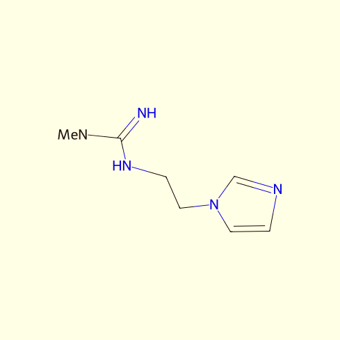 CNC(=N)NCCn1ccnc1